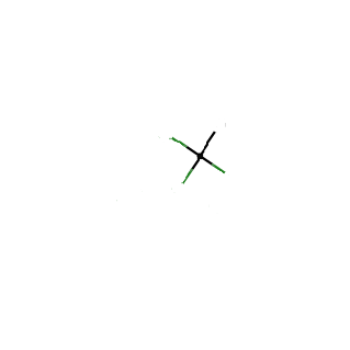 CC(Cl)(Cl)Cl.Cl.Cl.Cl